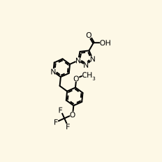 COc1ccc(OC(F)(F)F)cc1Cc1cc(-n2cc(C(=O)O)nn2)ccn1